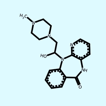 CN1CCN(CC(O)N2c3ccccc3C(=O)Nc3cccnc32)CC1